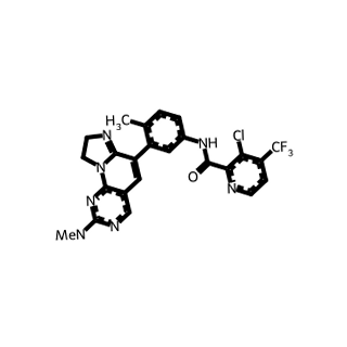 CNc1ncc2c(n1)N1CCN=C1C(c1cc(NC(=O)c3nccc(C(F)(F)F)c3Cl)ccc1C)=C2